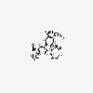 Cc1cc(C2(c3ccc(N=O)c(C)c3)CCCCCC2)ccc1O